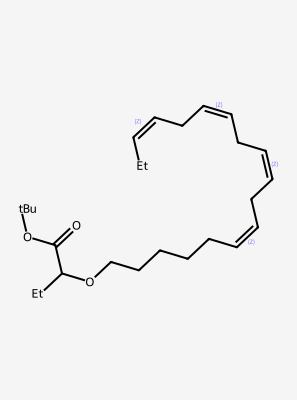 CC/C=C\C/C=C\C/C=C\C/C=C\CCCCCOC(CC)C(=O)OC(C)(C)C